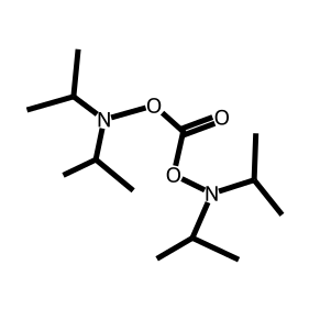 CC(C)N(OC(=O)ON(C(C)C)C(C)C)C(C)C